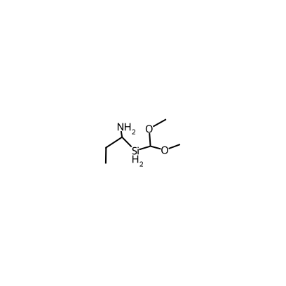 CCC(N)[SiH2]C(OC)OC